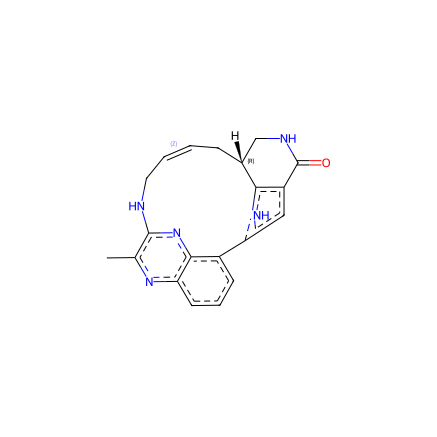 Cc1nc2cccc3c2nc1NC/C=C\C[C@@H]1CNC(=O)c2cc-3[nH]c21